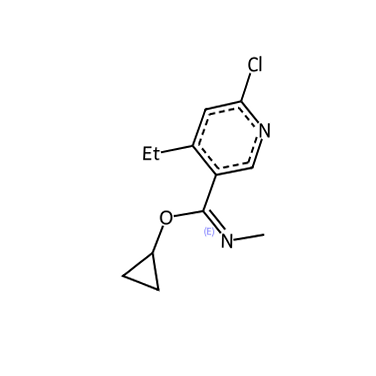 CCc1cc(Cl)ncc1/C(=N\C)OC1CC1